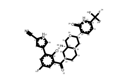 N#Cc1cc(-c2cc(F)cc(C(=O)N3CCN4C[C@@H](c5ccc(C(F)(F)F)[nH]c5=O)OC[C@@H]4C3)c2Cl)c[nH]1